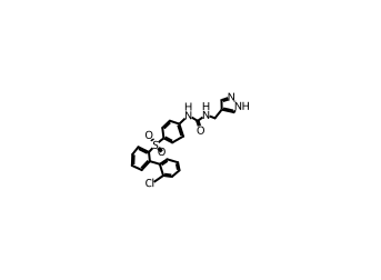 O=C(NCc1cn[nH]c1)Nc1ccc(S(=O)(=O)c2ccccc2-c2ccccc2Cl)cc1